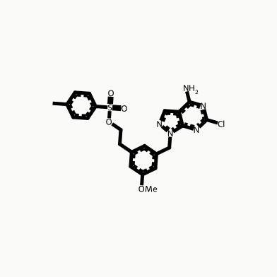 COc1cc(CCOS(=O)(=O)c2ccc(C)cc2)cc(Cn2ncc3c(N)nc(Cl)nc32)c1